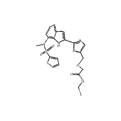 CCOC(=O)COCc1cnc(-c2cc3cccc(N(C)S(=O)(=O)c4cccs4)c3[nH]2)s1